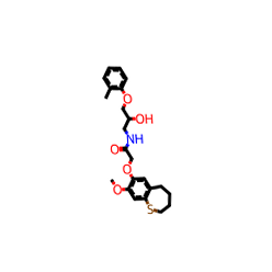 COc1cc2c(cc1OCC(=O)NCC(O)COc1ccccc1C)CCCCS2